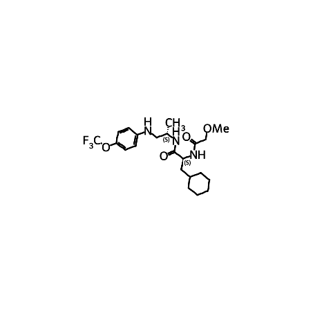 COCC(=O)N[C@@H](CC1CCCCC1)C(=O)N[C@@H](C)CNc1ccc(OC(F)(F)F)cc1